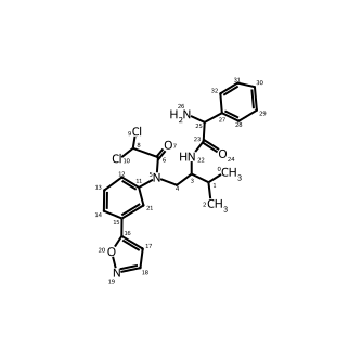 CC(C)C(CN(C(=O)C(Cl)Cl)c1cccc(-c2ccno2)c1)NC(=O)C(N)c1ccccc1